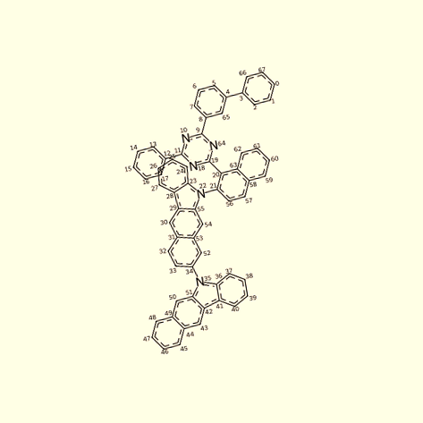 c1ccc(-c2cccc(-c3nc(-c4ccccc4)nc(-c4c(-n5c6ccccc6c6cc7ccc(-n8c9ccccc9c9cc%10ccccc%10cc98)cc7cc65)ccc5ccccc45)n3)c2)cc1